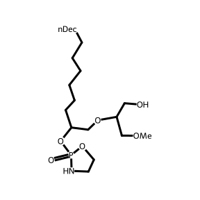 CCCCCCCCCCCCCCCCC(COC(CO)COC)OP1(=O)NCCO1